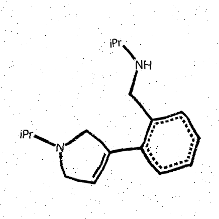 CC(C)NCc1ccccc1C1=CCN(C(C)C)C1